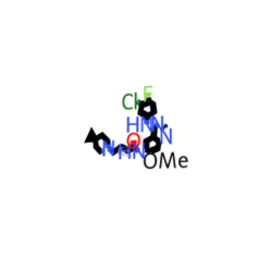 COc1cc2ncnc(Nc3ccc(F)c(Cl)c3)c2cc1NC(=O)/C=C/CN1CCC2(CC1)CC2